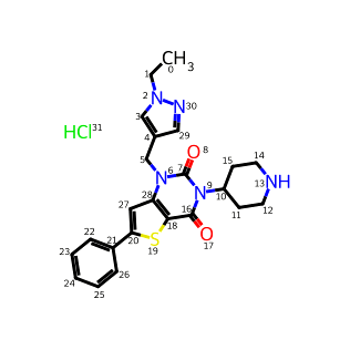 CCn1cc(Cn2c(=O)n(C3CCNCC3)c(=O)c3sc(-c4ccccc4)cc32)cn1.Cl